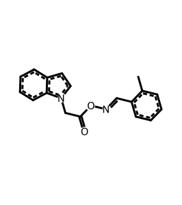 Cc1ccccc1C=NOC(=O)Cn1ccc2ccccc21